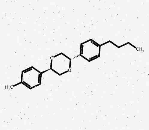 CCCCc1ccc([C@H]2CO[C@H](c3ccc(C)cc3)CO2)cc1